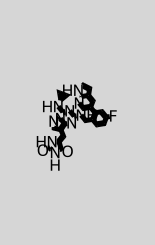 O=C1NC(=O)/C(=C/c2cnn3c(NC4CC4)nc(NCc4ccc(F)cc4-c4cnc5[nH]ccc5c4)nc23)N1